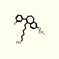 COc1ccc2c(c1)CCCC(c1cccc(F)c1)=C2CCCCCCO